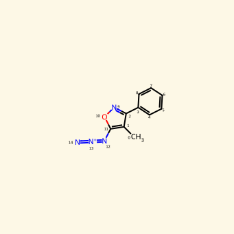 Cc1c(-c2ccccc2)noc1N=[N+]=[N-]